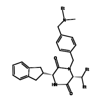 CCC(CC)[C@@H]1C(=O)N[C@H](C2Cc3ccccc3C2)C(=O)N1Cc1ccc(CN(C)CC)cc1